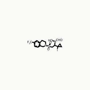 O=CN(O)C(CS(=O)(=O)N1CCc2cc(C(F)(F)F)ccc2C1)C1(I)CC1